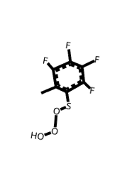 Cc1c(F)c(F)c(F)c(F)c1SOOO